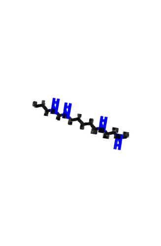 CCCNCNCCCCCNCCNC